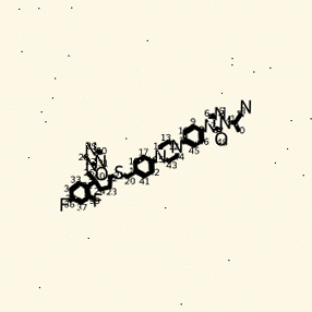 CC(C#N)n1ncn(-c2ccc(N3CCN(c4ccc(CSC5CCC(Cn6cncn6)(c6ccc(F)cc6F)O5)cc4)CC3)cc2)c1=O